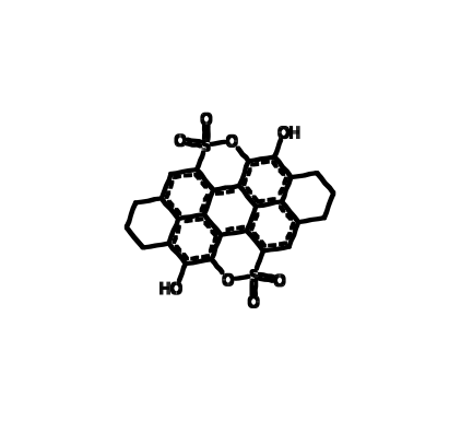 O=S1(=O)Oc2c(O)c3c4c(cc5c6c7c(c(O)c8c9c(cc1c(c2c46)c97)CCC8)OS5(=O)=O)CCC3